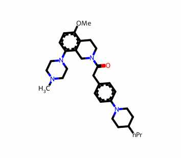 CCCC1CCN(c2ccc(CC(=O)N3CCc4c(OC)ccc(N5CCN(C)CC5)c4C3)cc2)CC1